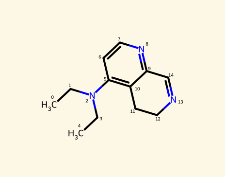 CCN(CC)c1ccnc2c1CCN=C2